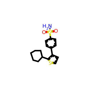 NS(=O)(=O)c1ccc(-c2ccsc2C2CCCCC2)cc1